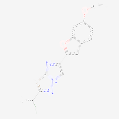 COc1ccc2cc(-c3cn4nc(C(C)F)sc4n3)oc2c1